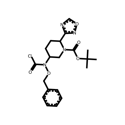 CC(C)(C)OC(=O)N1CC(N(OCc2ccccc2)C(=O)Cl)CCC1c1ncon1